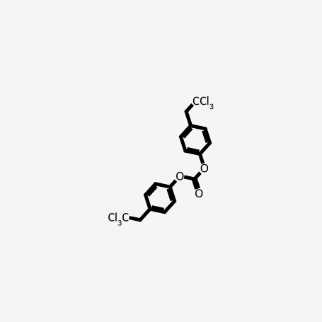 O=C(Oc1ccc(CC(Cl)(Cl)Cl)cc1)Oc1ccc(CC(Cl)(Cl)Cl)cc1